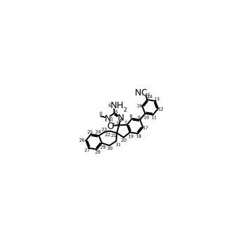 CN1OC2(N=C1N)c1cc(-c3cccc(C#N)c3)ccc1CC21CCc2ccccc2CC1